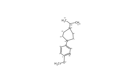 COc1ccc(N2CCN(C(C)C)CC2)cn1